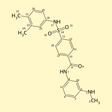 CNc1cccc(NC(=O)c2ccc(S(=O)(=O)Nc3ccc(C)c(C)c3)cc2)c1